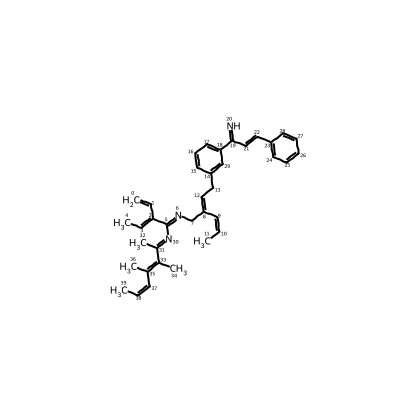 C=CC(=C\C)/C(=N/CC(/C=C\C)=C/Cc1cccc(C(=N)/C=C/c2ccccc2)c1)/N=C(C)/C(C)=C(C)/C=C\C